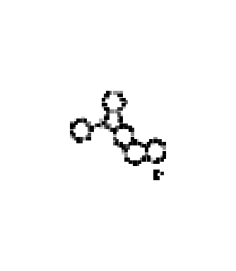 Brc1cccc2c1ccc1cc3c(cc12)c1ccccc1n3-c1ccccc1